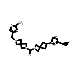 O=C(N1CC2(CC(n3cnc(C4CC4)n3)C2)C1)N1CC2(CN(Cc3coc(C(F)(F)F)n3)C2)C1